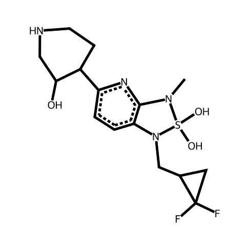 CN1c2nc(C3CCNCC3O)ccc2N(CC2CC2(F)F)S1(O)O